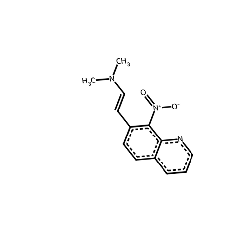 CN(C)C=Cc1ccc2cccnc2c1[N+](=O)[O-]